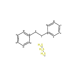 S.S.S.c1ccc(CCc2ccccc2)cc1